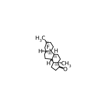 C[C@H]1CC[C@@]2(F)[C@H](CC[C@H]3C4CCC(=O)[C@@]4(C)CC[C@@H]32)C1